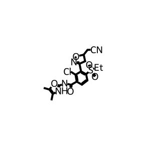 CCS(=O)(=O)c1ccc(C(=O)Nc2nc(C)c(C)o2)c(Cl)c1C1=NOC(CC#N)C1